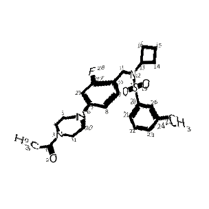 CC(=O)N1CCN(c2ccc(CN(C3CCC3)S(=O)(=O)c3cccc(C)c3)c(F)c2)CC1